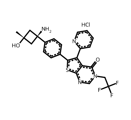 C[C@]1(O)C[C@@](N)(c2ccc(-c3sc4ncn(CC(F)(F)F)c(=O)c4c3-c3ccccn3)cc2)C1.Cl